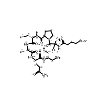 CCCCCCCCCCCCCC(=O)NC(C)(C)C(=O)N1CCCC1C(=O)N[C@@H](CC(C)C)C(=O)N[C@H](C(=O)N[C@@H](CCC(N)=O)C(=O)N[C@H](CO)CC(C)C)C(C)C